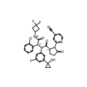 N#Cc1ccnc(N2C(=O)CC[C@H]2C(=O)N(c2cc(F)cc(C3(O)CC3)c2)[C@H](C(=O)NC2CC(F)(F)C2)c2ccccc2Cl)c1